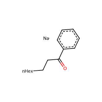 CCCCCCCCC(=O)c1ccccc1.[Na]